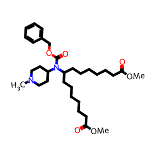 COC(=O)CCCCCCC(CCCCCCC(=O)OC)N(C(=O)OCc1ccccc1)C1CCN(C)CC1